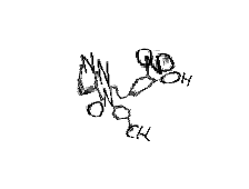 C#Cc1ccc(-n2c(C=Cc3ccc(O)c([N+](=O)[O-])c3)nc3ncccc3c2=O)cc1